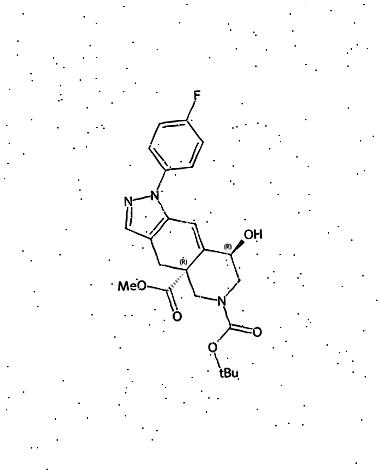 COC(=O)[C@]12Cc3cnn(-c4ccc(F)cc4)c3C=C1[C@@H](O)CN(C(=O)OC(C)(C)C)C2